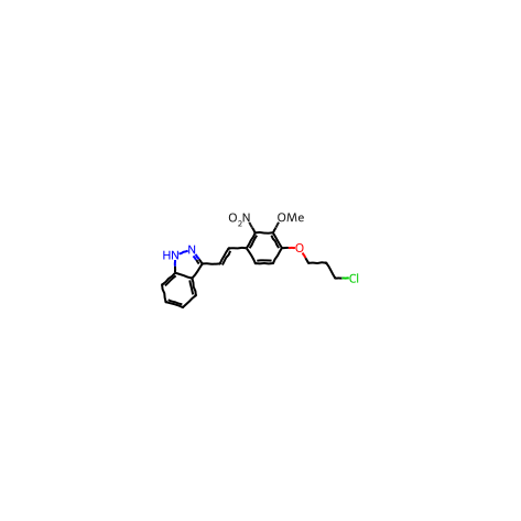 COc1c(OCCCCl)ccc(C=Cc2n[nH]c3ccccc23)c1[N+](=O)[O-]